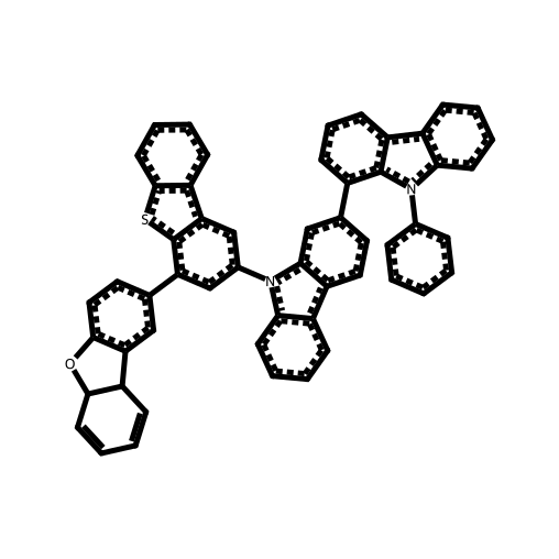 C1=CC2Oc3ccc(-c4cc(-n5c6ccccc6c6ccc(-c7cccc8c9ccccc9n(-c9ccccc9)c78)cc65)cc5c4sc4ccccc45)cc3C2C=C1